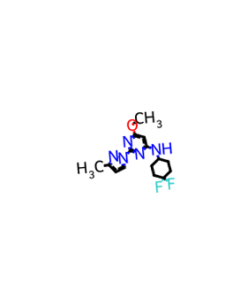 COc1cc(NC2CCC(F)(F)CC2)nc(-n2ccc(C)n2)n1